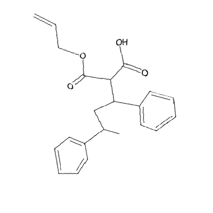 C=CCOC(=O)C(C(=O)O)C(CC(C)c1ccccc1)c1ccccc1